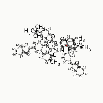 Cc1cc2c3c(c1)N(c1ccc(-c4cc5ccccc5o4)cc1-c1ccccc1)c1c(oc4ccc(C(C)(C)C)cc14)B3c1oc3ccc(C(C)(C)C)cc3c1N2c1ccc(-c2cc3ccccc3o2)cc1-c1ccccc1